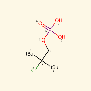 CC(C)(C)C(Cl)(COP(=O)(O)O)C(C)(C)C